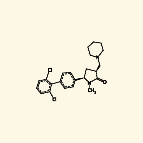 CN1C(=O)[C@H](CN2CCCCC2)C[C@@H]1c1ccc(-c2c(Cl)cccc2Cl)cc1